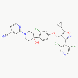 N#Cc1ccnc(N2CCC(O)(c3ccc(OCc4c(-c5c(Cl)cncc5Cl)noc4C4CC4)cc3Cl)CC2)c1